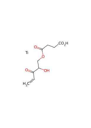 C=CC(=O)C(O)COC(=O)CCC(=O)O.[Ti]